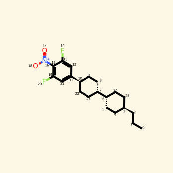 CCC[C@H]1CC[C@H]([C@H]2CC[C@H](c3cc(F)c([N+](=O)[O-])c(F)c3)CC2)CC1